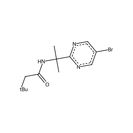 CC(C)(C)CC(=O)NC(C)(C)c1ncc(Br)cn1